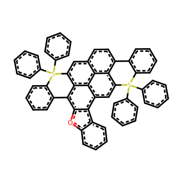 c1ccc(S2(c3ccccc3)c3ccccc3-c3ccc4cc5c6c(c7oc8ccccc8c7c7cc2c3c4c67)-c2ccccc2S5(c2ccccc2)c2ccccc2)cc1